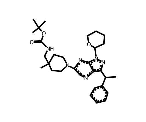 CC(c1ccccc1)c1nn(C2CCCCO2)c2nc(N3CCC(C)(CNC(=O)OC(C)(C)C)CC3)cnc12